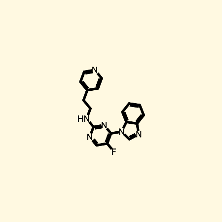 Fc1cnc(NCCc2ccncc2)nc1-n1cnc2ccccc21